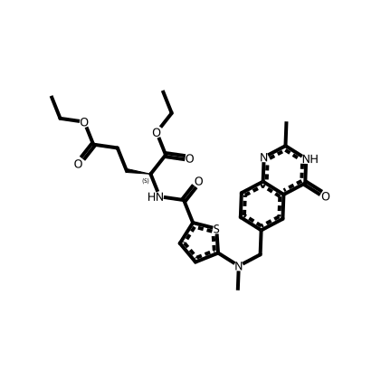 CCOC(=O)CC[C@H](NC(=O)c1ccc(N(C)Cc2ccc3nc(C)[nH]c(=O)c3c2)s1)C(=O)OCC